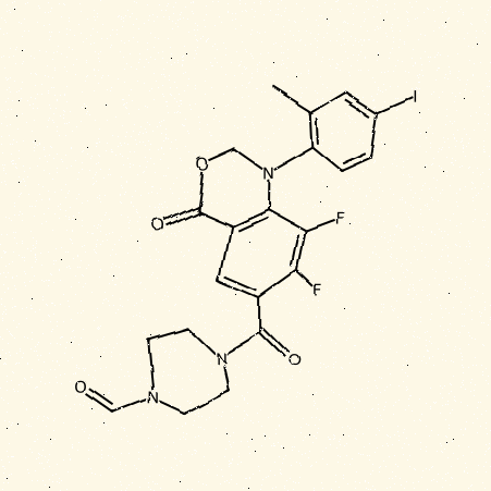 Cc1cc(I)ccc1N1COC(=O)c2cc(C(=O)N3CCN(C=O)CC3)c(F)c(F)c21